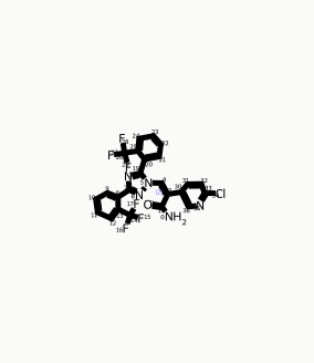 NC(=O)/C(=C\n1nc(-c2ccccc2C(F)(F)F)nc1-c1ccccc1C(F)(F)F)c1ccc(Cl)nc1